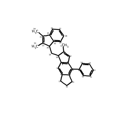 CC1=Cc2c(cc3c(c2-c2ccccc2)CCC3)C1CC1C(C)=C(C)c2ccccc21